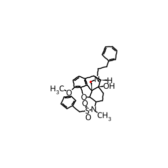 COc1ccc2c3c1OC1C(N(C)S(=O)(=O)Cc4ccccc4)CC[C@@]4(O)[C@@H](C2)N(CCc2ccccc2)CC[C@]314